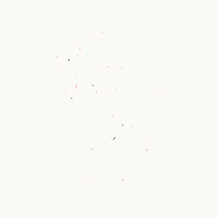 OC[C@@H]1O[C@H](Oc2c(O)cc(O)c3c2O[C@H](c2ccc(O)c(O)c2)[C@@H](O)C3)[C@@H](O)[C@H](O)[C@H]1O